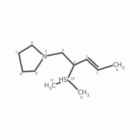 CC=CC(CN1CCCC1)[SiH](C)C